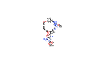 CCOc1nc2nc(n1)Nc1ccc(C(=O)N[C@@H](CNC(=O)OC(C)(C)C)C(N)=O)c(c1)OCCCCCCOc1ccc(cc1)CN2